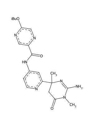 CC(C)COc1cnc(C(=O)Nc2ccnc(C3(C)CC(=O)N(C)C(N)=N3)c2)cn1